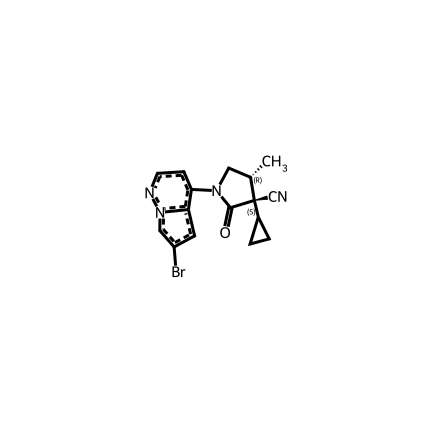 C[C@H]1CN(c2ccnn3cc(Br)cc23)C(=O)[C@@]1(C#N)C1CC1